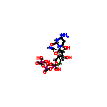 N#C[C@@]1(n2ccc(N)nc2=O)O[C@](CF)(COP(=O)(O)OP(=O)(O)OP(=O)(O)O)[C@@H](O)[C@H]1O